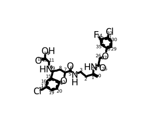 C=C(CCNC(=O)C1CC(NCC(=O)O)c2cc(Cl)ccc2O1)NC(=O)COc1ccc(Cl)c(F)c1